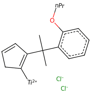 CCCOc1ccccc1C(C)(C)C1=[C]([Ti+2])CC=C1.[Cl-].[Cl-]